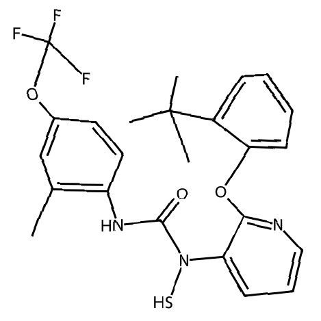 Cc1cc(OC(F)(F)F)ccc1NC(=O)N(S)c1cccnc1Oc1ccccc1C(C)(C)C